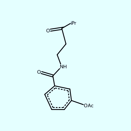 CC(=O)Oc1cccc(C(=O)NCCC(=O)C(C)C)c1